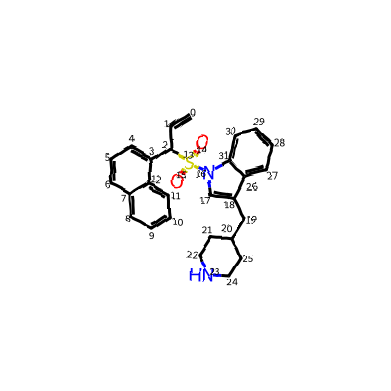 C=CC(c1cccc2ccccc12)S(=O)(=O)n1cc(CC2CCNCC2)c2ccccc21